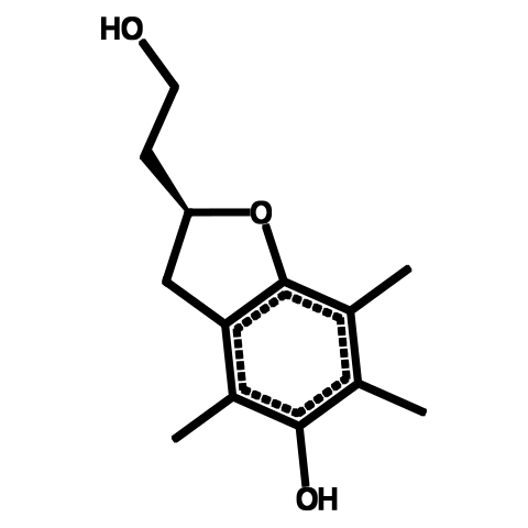 Cc1c(C)c2c(c(C)c1O)C[C@@H](CCO)O2